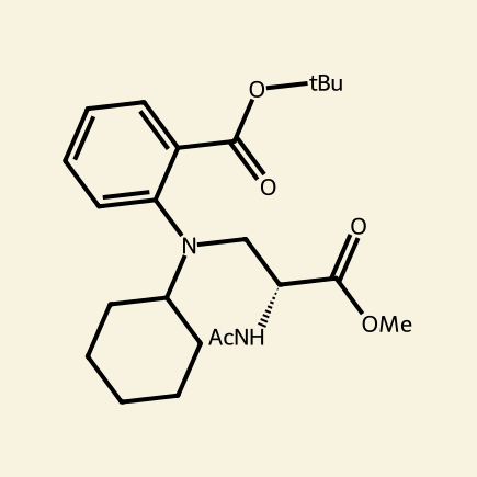 COC(=O)[C@@H](CN(c1ccccc1C(=O)OC(C)(C)C)C1CCCCC1)NC(C)=O